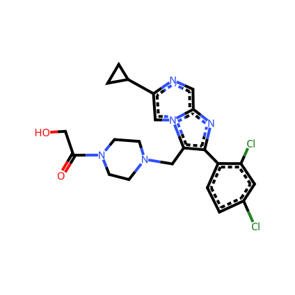 O=C(CO)N1CCN(Cc2c(-c3ccc(Cl)cc3Cl)nc3cnc(C4CC4)cn23)CC1